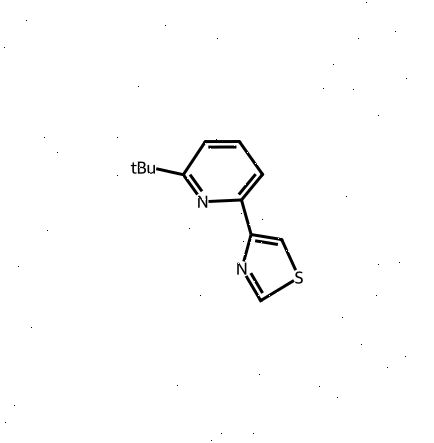 CC(C)(C)c1cccc(-c2cscn2)n1